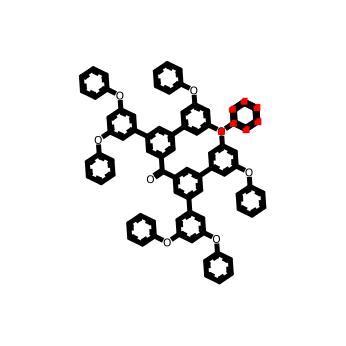 O=C(c1cc(-c2cc(Oc3ccccc3)cc(Oc3ccccc3)c2)cc(-c2cc(Oc3ccccc3)cc(Oc3ccccc3)c2)c1)c1cc(-c2cc(Oc3ccccc3)cc(Oc3ccccc3)c2)cc(-c2cc(Oc3ccccc3)cc(Oc3ccccc3)c2)c1